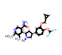 CC(=O)N1C[C@H](c2ccc(OC(F)F)c(OCC3CC3)c2)C[C@@H]1c1c(C(N)=O)cnc(C(=O)O)c1C